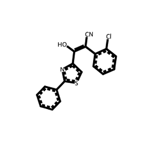 N#CC(=C(O)c1csc(-c2ccccc2)n1)c1ccccc1Cl